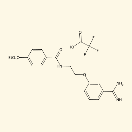 CCOC(=O)c1ccc(C(=O)NCCOc2cccc(C(=N)N)c2)cc1.O=C(O)C(F)(F)F